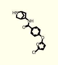 O=C(NC1CC2CC1CN2)c1ccc(Oc2ccc(Cl)o2)cc1